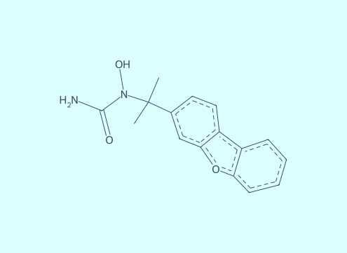 CC(C)(c1ccc2c(c1)oc1ccccc12)N(O)C(N)=O